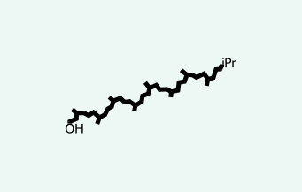 CC(C)CCCC(C)CCCC(C)CCCC(C)CCCC(C)CCCC(C)CCCC(C)CCCC(C)CCCC(C)CCO